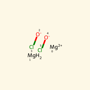 [Mg+2].[MgH2].[O-]Cl.[O-]Cl